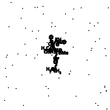 COC(=O)c1nc(N2C[C@H](N(CCN(C)C(=O)OCc3ccccc3)C(=O)OCc3ccccc3)Cc3c2nnc(Cl)c3C)sc1CCCOc1ccc(CCCN(C)C)cc1F